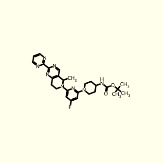 CC1c2cnc(-c3ncccn3)nc2CCN1c1cc(F)cc(N2CCC(NC(=O)OC(C)(C)C)CC2)n1